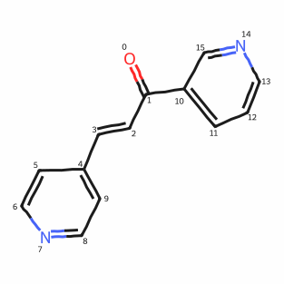 O=C(/C=C/c1ccncc1)c1cccnc1